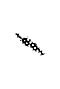 C/C=C/COc1cc(F)c2c(F)c([C@@H]3CC[C@@H]4CC(CCCCC)CCC4C3)ccc2c1